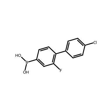 OB(O)c1ccc(-c2ccc(Cl)cc2)c(F)c1